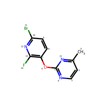 Cc1ccnc(Oc2ccc(Br)nc2F)n1